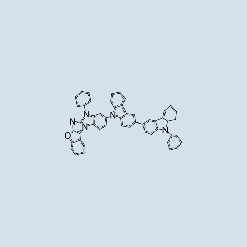 C1=CCC2C(=C1)c1cc(-c3ccc4c(c3)c3ccccc3n4-c3ccc4c(c3)n(-c3ccccc3)c3nc5oc6ccccc6c5n43)ccc1N2c1ccccc1